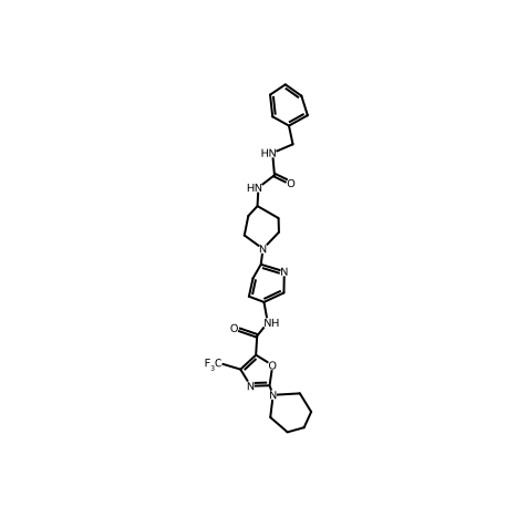 O=C(NCc1ccccc1)NC1CCN(c2ccc(NC(=O)c3oc(N4CCCCC4)nc3C(F)(F)F)cn2)CC1